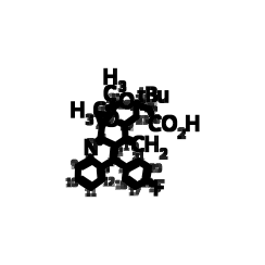 C=C(c1c(C2CC2)nc2ccccc2c1-c1ccc(F)cc1)C1CC(CC(=O)O)(C(C)(C)C)OC(C)(C)O1